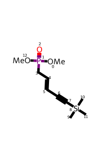 COP(=O)(C/C=C/C#C[Si](C)(C)C)OC